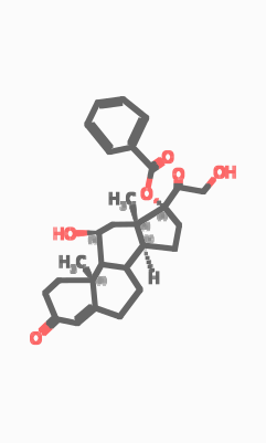 C[C@]12CCC(=O)C=C1CCC1C2[C@@H](O)C[C@@]2(C)[C@H]1CC[C@]2(OC(=O)c1ccccc1)C(=O)CO